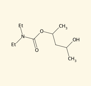 CCN(CC)C(=O)OC(C)CC(C)O